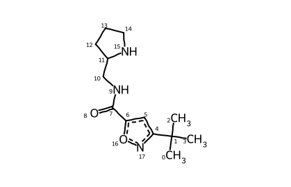 CC(C)(C)c1cc(C(=O)NCC2CCCN2)on1